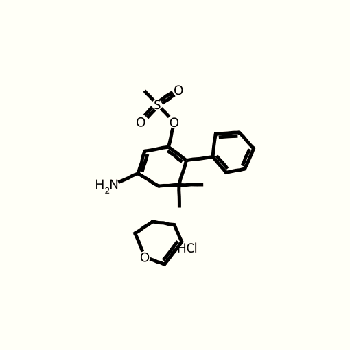 C1=COCCC1.CC1(C)CC(N)=CC(OS(C)(=O)=O)=C1c1ccccc1.Cl